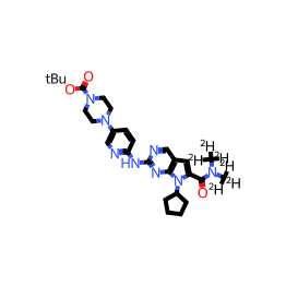 [2H]C([2H])([2H])N(C(=O)c1cc2cnc(Nc3ccc(N4CCN(C(=O)OC(C)(C)C)CC4)cn3)nc2n1C1CCCC1)C([2H])([2H])[2H]